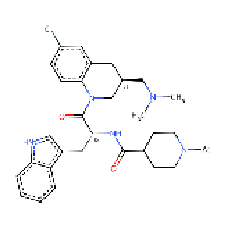 CC(=O)N1CCC(C(=O)N[C@H](Cc2c[nH]c3ccccc23)C(=O)N2C[C@H](CN(C)C)Cc3cc(Cl)ccc32)CC1